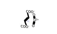 O=C([O-])/C=C/C(=O)[O-].[O]=[U+2]=[O]